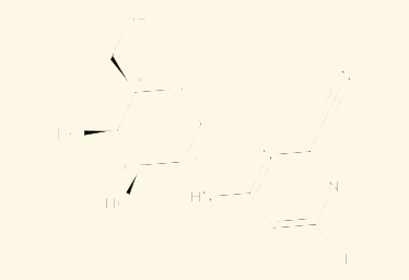 N#Cc1nc(Cl)cc(N[C@H]2CO[C@H](CO)[C@H](O)[C@@H]2O)n1